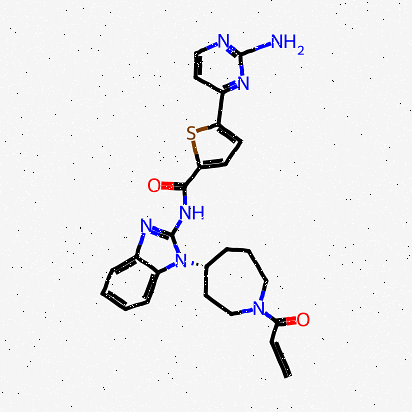 C=CC(=O)N1CCC[C@@H](n2c(NC(=O)c3ccc(-c4ccnc(N)n4)s3)nc3ccccc32)CC1